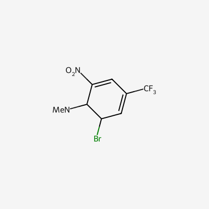 CNC1C([N+](=O)[O-])=CC(C(F)(F)F)=CC1Br